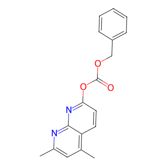 Cc1cc(C)c2ccc(OC(=O)OCc3ccccc3)nc2n1